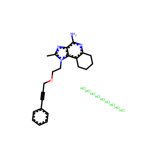 Cc1nc2c(N)nc3c(c2n1CCOCC#Cc1ccccc1)CCCC3.Cl.Cl.Cl.Cl.Cl.Cl.Cl.Cl.Cl